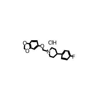 Cl.Fc1ccc(C2CCN(COc3ccc4c(c3)OCO4)CC2)cc1